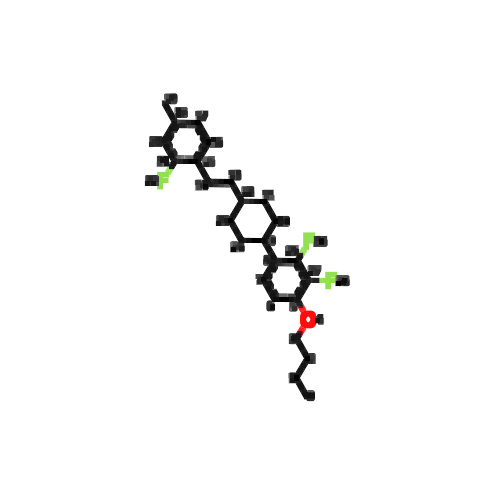 CCCCOc1ccc(C2CCC(/C=C/c3ccc(C)cc3F)CC2)c(F)c1F